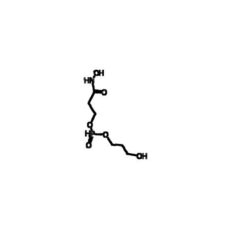 O=C(CCO[PH](=O)OCCCO)NO